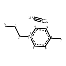 CCC[n+]1ccc(C)cc1.[C-]#N